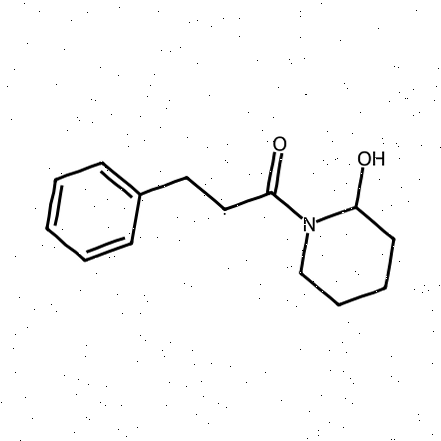 O=C([CH]Cc1ccccc1)N1CCCCC1O